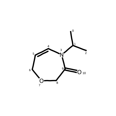 CC(C)N1C=CCOCC1=O